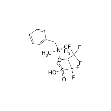 C[N+](C)(Cc1ccccc1)OC(C(F)(F)F)C(F)(F)S(=O)(=O)O